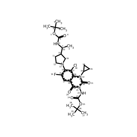 C[C@H](NC(=O)OC(C)(C)C)C1CCN(c2c(F)cc3c(=O)n(NC(=O)OC(C)(C)C)c(=O)n(C4CC4)c3c2Cl)C1